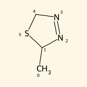 CC1N=NCS1